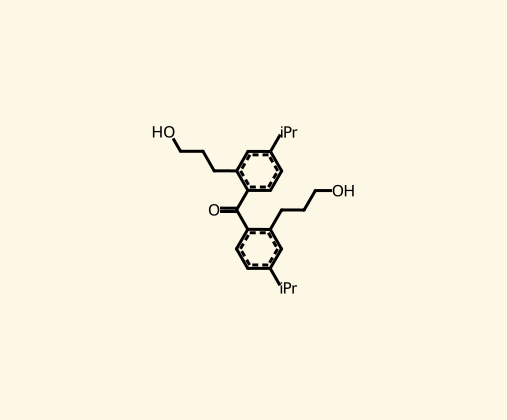 CC(C)c1ccc(C(=O)c2ccc(C(C)C)cc2CCCO)c(CCCO)c1